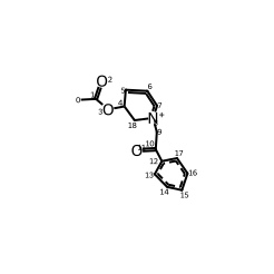 CC(=O)OC1C=C=C=[N+](CC(=O)c2ccccc2)C1